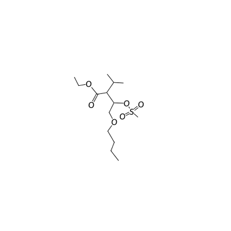 CCCCOCC(OS(C)(=O)=O)C(C(=O)OCC)C(C)C